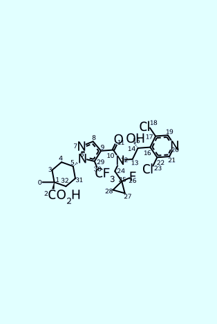 C[C@]1(C(=O)O)CC[C@H](n2ncc(C(=O)N(C[C@H](O)c3c(Cl)cncc3Cl)CC3(F)CC3)c2C(F)(F)F)CC1